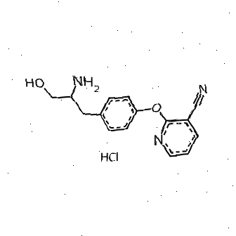 Cl.N#Cc1cccnc1Oc1ccc(CC(N)CO)cc1